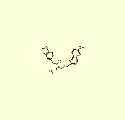 CN(CC[CH]c1ccc2cc(O)ccc2c1)C(=O)Cc1ccc2c(c1)OCO2